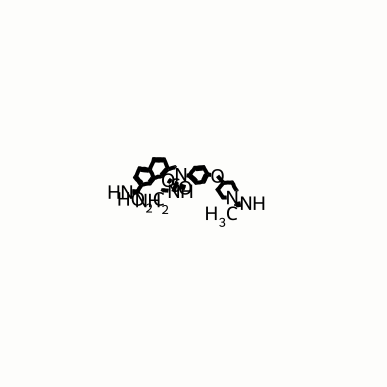 CC(=N)N1CCC(Oc2ccc(N(Cc3ccc4ccc(C(=N)N)cc4c3)S(=O)(=O)NCC(=O)O)cc2)CC1